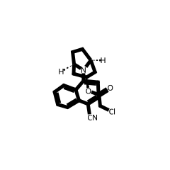 N#Cc1ccc(N2[C@@H]3CC[C@H]2C[C@@H](OC(=O)CCl)C3)c2ccccc12